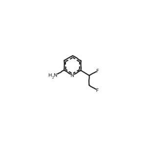 Nc1cccc(C(F)CF)n1